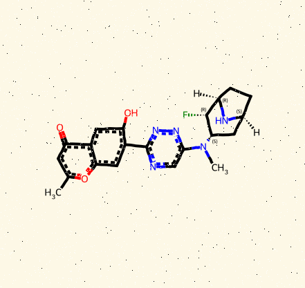 Cc1cc(=O)c2cc(O)c(-c3ncc(N(C)[C@H]4C[C@@H]5CC[C@@H](N5)[C@H]4F)nn3)cc2o1